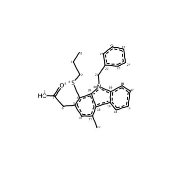 CCCSc1c(CC(=O)O)cc(C)c2c3ccccc3n(Cc3ccccc3)c12